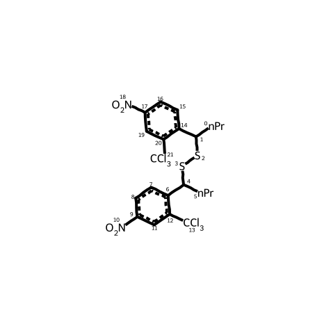 CCCC(SSC(CCC)c1ccc([N+](=O)[O-])cc1C(Cl)(Cl)Cl)c1ccc([N+](=O)[O-])cc1C(Cl)(Cl)Cl